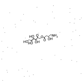 NCC(O)CC(=O)OCC(=O)[C@H](O)[C@@H](O)[C@H](O)CO